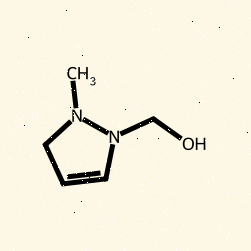 CN1CC=CN1CO